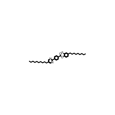 CCCCCCCCCCc1cnc(-c2ccc(C(=O)Oc3ccc(CCCCCCCCC)cc3F)cc2)nc1